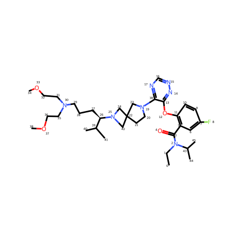 CCN(C(=O)c1cc(F)ccc1Oc1nncnc1N1CCC2(C1)CN([C@H](CCCN(CCOC)CCOC)C(C)C)C2)C(C)C